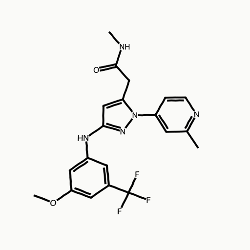 CNC(=O)Cc1cc(Nc2cc(OC)cc(C(F)(F)F)c2)nn1-c1ccnc(C)c1